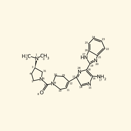 CN(C)[C@@H]1CCN(C(=O)N2CC=C(c3cnc(N)c(-c4nc5ccccc5[nH]4)n3)CC2)C1